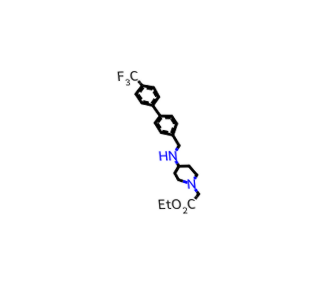 CCOC(=O)CN1CCC(NCc2ccc(-c3ccc(C(F)(F)F)cc3)cc2)CC1